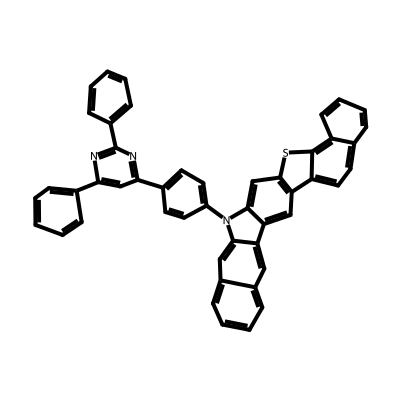 c1ccc(-c2cc(-c3ccc(-n4c5cc6ccccc6cc5c5cc6c(cc54)sc4c5ccccc5ccc64)cc3)nc(-c3ccccc3)n2)cc1